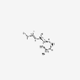 CC/C(C)=C/N(C)c1cncc(C)c1